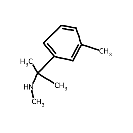 CNC(C)(C)c1cccc(C)c1